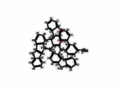 CC(C)(C)c1ccc(N2c3cc4oc5ccccc5c4c4c3B(c3ccc5sc6ccccc6c5c32)n2c3c-4cccc3c3sc4ccccc4c32)c(-c2ccccc2)c1